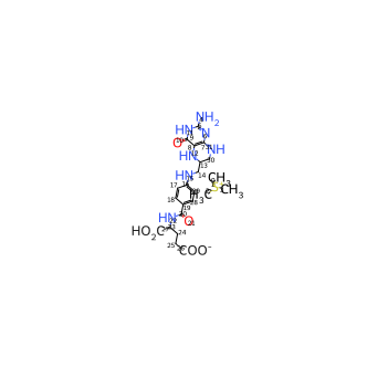 C[S+](C)C.Nc1nc2c(c(=O)[nH]1)NC(CNc1ccc(C(=O)NC(CCC(=O)[O-])C(=O)O)cc1)CN2